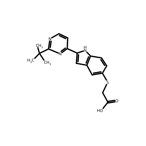 CC(C)(C)c1nccc(-c2cc3cc(SCC(=O)O)ccc3[nH]2)n1